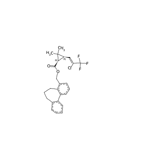 CC1(C)[C@H](C(=O)OCc2cccc3c2CCCc2ccccc2-3)[C@@H]1C=C(Cl)C(F)(F)F